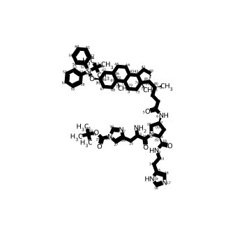 C[C@H](CCC(=O)N[C@H]1C[C@@H](C(=O)NCCc2cnc[nH]2)N(C(=O)C(N)Cc2cn(C(=O)OC(C)(C)C)cn2)C1)[C@H]1CCC2C3CCC4C[C@H](O[Si](c5ccccc5)(c5ccccc5)C(C)(C)C)CC[C@]4(C)C3CC[C@@]21C